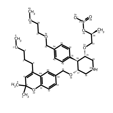 COCCCC1=CC(C)(C)Oc2ccc(CO[C@H]3CNC[C@@H](OC[C@H](C)O[N+](=O)[O-])[C@@H]3c3ccc(COCCOC)cc3)cc21